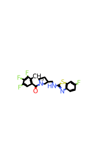 Cc1c(C(=O)N2CCC(CNc3nc4ccc(F)cc4s3)C2)cc(F)c(F)c1F